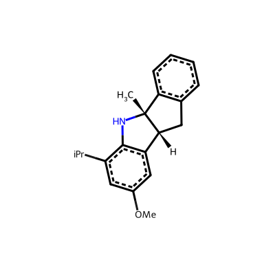 COc1cc(C(C)C)c2c(c1)[C@H]1Cc3ccccc3[C@@]1(C)N2